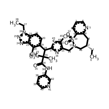 CC[C@H]1Cc2ncccc2S(=O)(=O)N(Cc2nc(C(c3ccc4c(nnn4CC)c3C)C(C)(C)C(=O)Nc3cccnc3)sc2C)C1